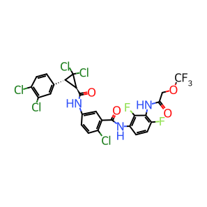 O=C(COC(F)(F)F)Nc1c(F)ccc(NC(=O)c2cc(NC(=O)[C@H]3[C@H](c4ccc(Cl)c(Cl)c4)C3(Cl)Cl)ccc2Cl)c1F